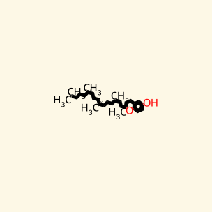 CC(=CCC1(C)CCc2cc(O)ccc2O1)CCC[C@H](C)CCC[C@H](C)CCCC(C)C